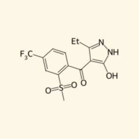 CCc1n[nH]c(O)c1C(=O)c1ccc(C(F)(F)F)cc1S(C)(=O)=O